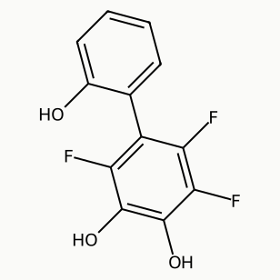 Oc1ccccc1-c1c(F)c(O)c(O)c(F)c1F